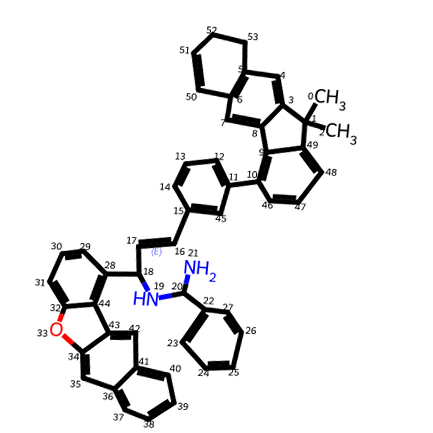 CC1(C)c2cc3c(cc2-c2c(-c4cccc(/C=C/C(NC(N)c5ccccc5)c5cccc6oc7cc8ccccc8cc7c56)c4)cccc21)C=CCC3